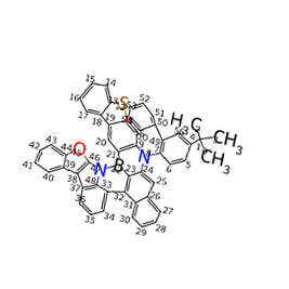 CC(C)(C)c1ccc(N2c3cc4sc5ccccc5c4cc3B3c4c2cc2ccccc2c4-c2cccc4c5c6ccccc6oc5n3c24)c(-c2ccccc2)c1